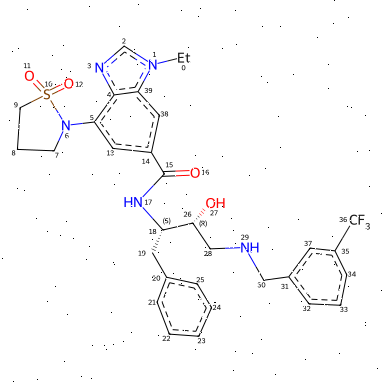 CCn1cnc2c(N3CCCS3(=O)=O)cc(C(=O)N[C@@H](Cc3ccccc3)[C@H](O)CNCc3cccc(C(F)(F)F)c3)cc21